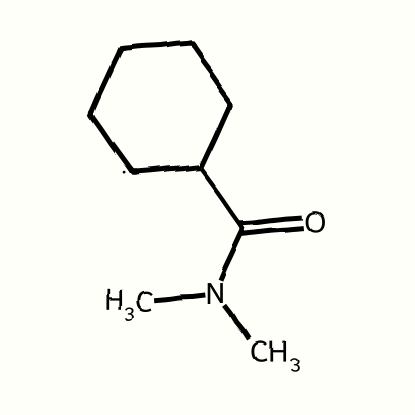 CN(C)C(=O)C1[CH]CCCC1